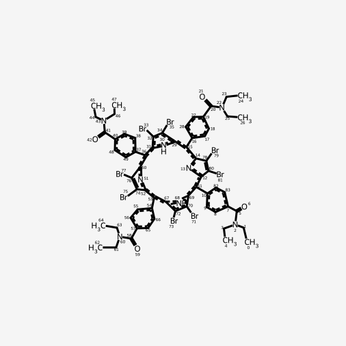 CCN(CC)C(=O)c1ccc(-c2c3nc(c(-c4ccc(C(=O)N(CC)CC)cc4)c4[nH]c(c(Br)c4Br)c(-c4ccc(C(=O)N(CC)CC)cc4)c4nc(c(-c5ccc(C(=O)N(CC)CC)cc5)c5[nH]c2c(Br)c5Br)C(Br)=C4Br)C(Br)=C3Br)cc1